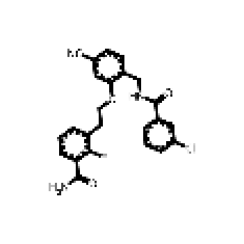 N#Cc1ccc(CNC(=O)c2cccc(Cl)c2)c(OCCc2cccc(C(N)=O)c2F)c1